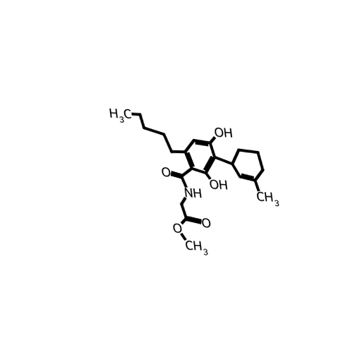 CCCCCc1cc(O)c(C2C=C(C)CCC2)c(O)c1C(=O)NCC(=O)OC